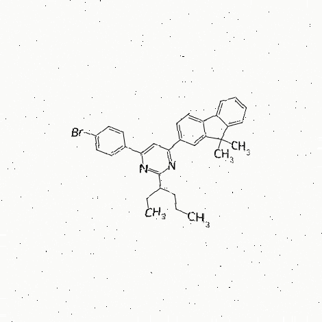 CCCC(CC)c1nc(-c2ccc(Br)cc2)cc(-c2ccc3c(c2)C(C)(C)c2ccccc2-3)n1